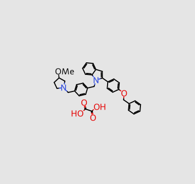 COC1CCN(Cc2ccc(Cn3c(-c4ccc(OCc5ccccc5)cc4)cc4ccccc43)cc2)C1.O=C(O)C(=O)O